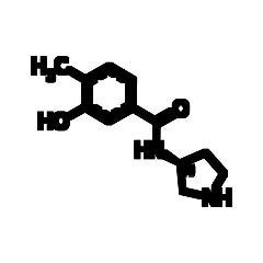 Cc1ccc(C(=O)N[C@H]2CCNC2)cc1O